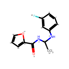 O=C(NC(Nc1cccc(F)c1)C(Cl)(Cl)Cl)c1ccco1